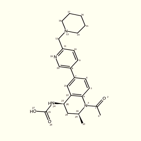 CC(=O)N1c2ccc(-c3ccc(CN4CCCCC4)nc3)cc2[C@H](NC(=O)O)C[C@@H]1C